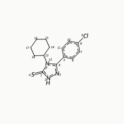 S=c1[nH]nc(-c2ccc(Cl)cc2)n1C1CCCCC1